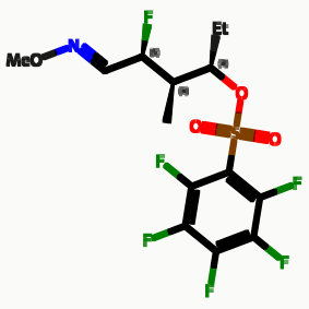 CC[C@@H](OS(=O)(=O)c1c(F)c(F)c(F)c(F)c1F)[C@@H](C)[C@H](F)C=NOC